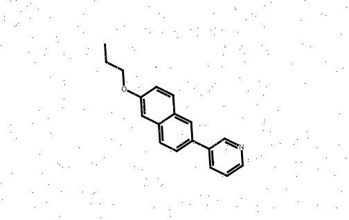 CCCOc1ccc2cc(-c3cccnc3)ccc2c1